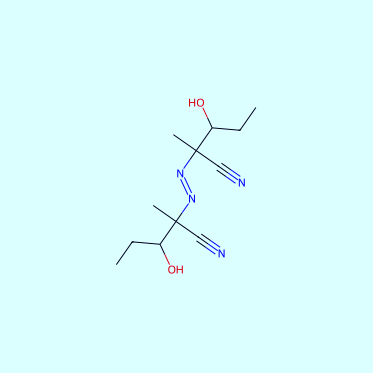 CCC(O)C(C)(C#N)N=NC(C)(C#N)C(O)CC